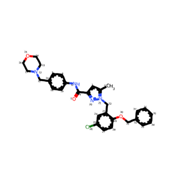 Cc1cc(C(=O)Nc2ccc(CN3CCOCC3)cc2)nn1Cc1cc(Cl)ccc1OCc1ccccc1